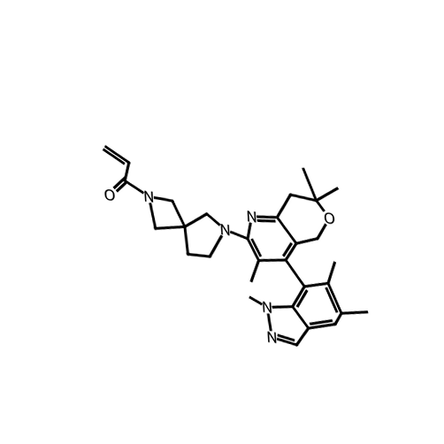 C=CC(=O)N1CC2(CCN(c3nc4c(c(-c5c(C)c(C)cc6cnn(C)c56)c3C)COC(C)(C)C4)C2)C1